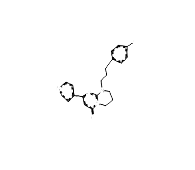 O=c1cc(-c2ccncc2)nc2n1CCCN2CCCc1ccc(F)cc1